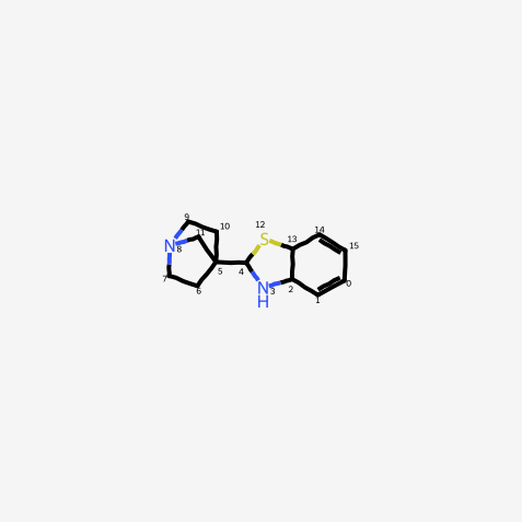 C1=CC2NC(C34CCN(CC3)C4)SC2C=C1